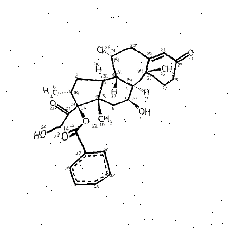 C[C@@H]1C[C@H]2[C@H]3[C@H]([C@@H](O)C[C@]2(C)[C@]1(OC(=O)c1ccccc1)C(=O)CO)[C@@]1(C)CCC(=O)C=C1C[C@H]3Cl